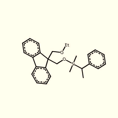 CCOCC1(CO[Si](C)(C)C(C)c2ccccc2)c2ccccc2-c2ccccc21